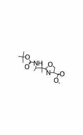 COC(=O)C1COC(C(C)(C)C(C)NC(=O)OC(C)(C)C)=N1